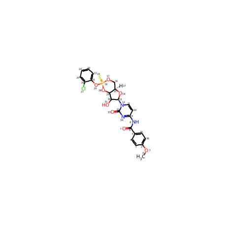 COc1ccc(C(=O)Nc2ccn([C@@H]3O[C@@H]4COP(=S)(Oc5ccccc5Cl)OC4C3O)c(=O)n2)cc1